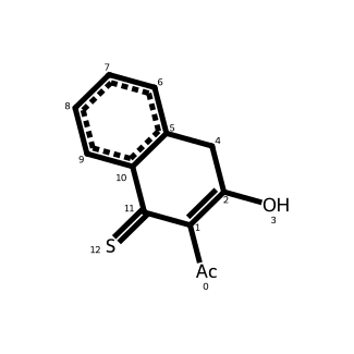 CC(=O)C1=C(O)Cc2ccccc2C1=S